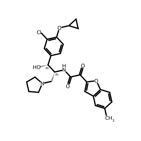 Cc1ccc2oc(C(=O)C(=O)N[C@H](CN3CCCC3)[C@H](O)c3ccc(OC4CC4)c(Cl)c3)cc2c1